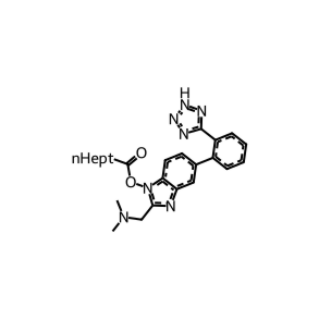 CCCCCCCC(=O)On1c(CN(C)C)nc2cc(-c3ccccc3-c3nn[nH]n3)ccc21